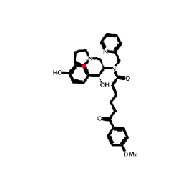 COc1ccc(C(=O)CCCCC(=O)N(Cc2ccccn2)[C@H](CN2CCCC2)[C@H](O)c2ccc(O)cc2)cc1